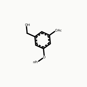 CCCOc1cc([CH]O)cc(OC(C)=O)c1